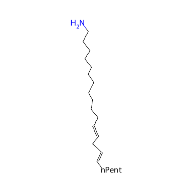 CCCCC/C=C/C/C=C/CCCCCCCCCCCN